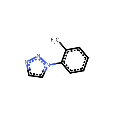 FC(F)(F)c1c[c]ccc1-n1ccnn1